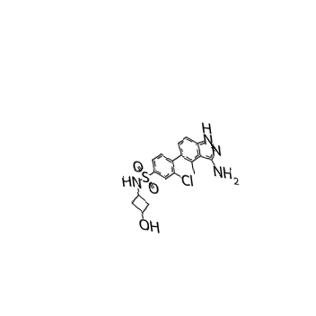 Cc1c(-c2ccc(S(=O)(=O)NC3CC(O)C3)cc2Cl)ccc2[nH]nc(N)c12